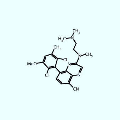 COc1cc(C)c(Cl)c(-c2ccc(C#N)c3ncc(N(C)CCN(C)C)nc23)c1Cl